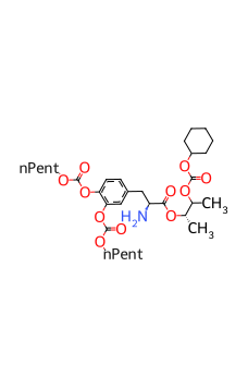 CCCCCOC(=O)Oc1ccc(C[C@H](N)C(=O)O[C@@H](C)C(C)OC(=O)OC2CCCCC2)cc1OC(=O)OCCCCC